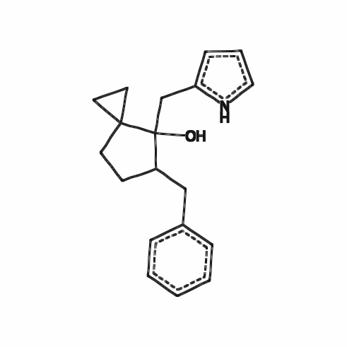 OC1(Cc2ccc[nH]2)C(Cc2ccccc2)CCC12CC2